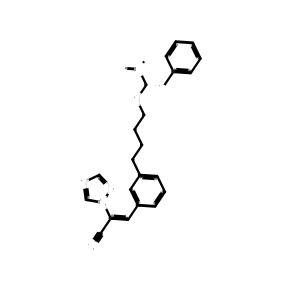 N#CC(=Cc1cccc(CCCCN[C@@H](Cc2ccccc2)B(O)O)c1)n1cncn1